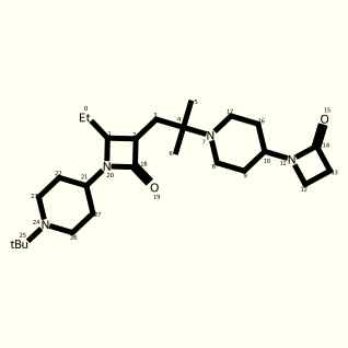 CCC1C(CC(C)(C)N2CCC(N3CCC3=O)CC2)C(=O)N1C1CCN(C(C)(C)C)CC1